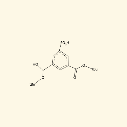 CC(C)(C)OC(=O)c1cc(C(O)OC(C)(C)C)cc(S(=O)(=O)O)c1